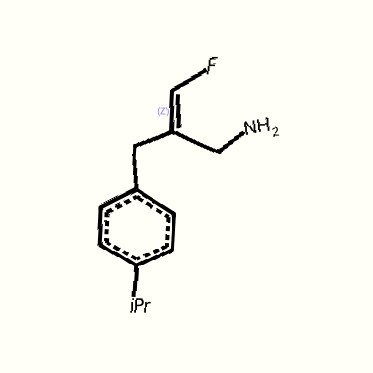 CC(C)c1ccc(C/C(=C/F)CN)cc1